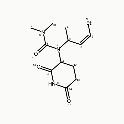 CC/C=C\C(C)N(C(=O)N(C)C)C1CCC(=O)NC1=O